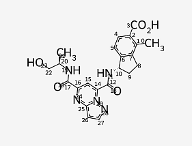 Cc1c(C(=O)O)ccc2c1CC[C@@H]2NC(=O)c1cc(C(=O)N[C@H](C)CO)nc2ccnn12